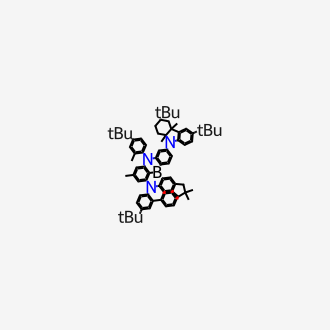 Cc1cc2c3c(c1)N(c1ccc(C(C)(C)C)cc1-c1ccccc1)c1cc4c(cc1B3c1ccc(N3c5ccc(C(C)(C)C)cc5C5(C)CC(C(C)(C)C)CCC35C)cc1N2c1ccc(C(C)(C)C)cc1C)CC(C)(C)C4